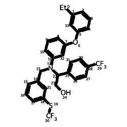 CCc1cccc(Oc2cccc(N(Cc3cccc(SC(F)(F)F)c3)C(CO)c3ccc(C(F)(F)F)cc3)c2)c1